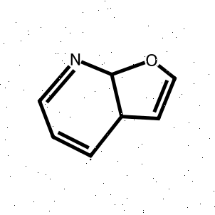 [C]1=CC=NC2OC=CC12